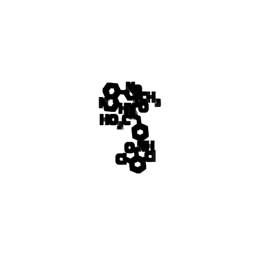 C[C@@]1(C(=O)N[C@@H](Cc2ccc(NC(=O)c3c(Cl)cccc3Cl)cc2)C(=O)O)CC(c2cccc3ncccc23)=NO1